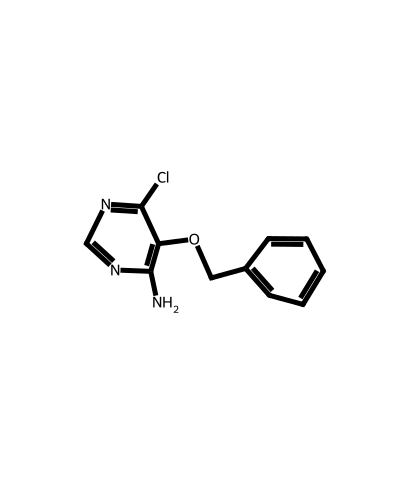 Nc1ncnc(Cl)c1OCc1ccccc1